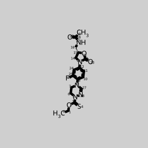 CCOC(=S)N1CCN(c2ccc(N3C[C@H](CNC(C)=O)OC3=O)cc2F)C=N1